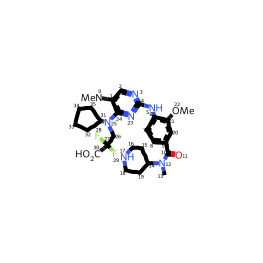 CNc1cnc(Nc2ccc(C(=O)N(C)C3CCNCC3)cc2OC)nc1N(CC(F)(F)C(=O)O)C1CCCC1